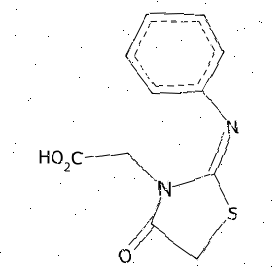 O=C(O)CN1C(=O)CSC1=Nc1ccccc1